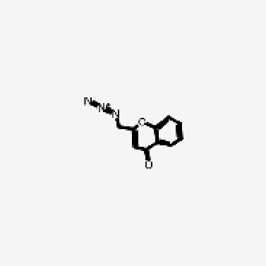 [N-]=[N+]=NCc1cc(=O)c2ccccc2o1